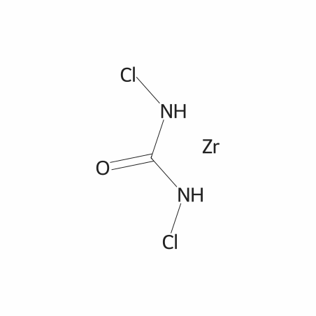 O=C(NCl)NCl.[Zr]